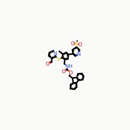 Cc1cc(-c2cncc(S(C)(=O)=O)c2)cc(CNC(=O)OCC2c3ccccc3-c3ccccc32)c1Sc1ncccc1C=O